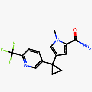 Cn1cc(C2(c3ccc(C(F)(F)F)nc3)CC2)cc1C(N)=O